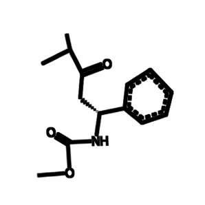 COC(=O)N[C@H](CC(=O)C(C)C)c1ccccc1